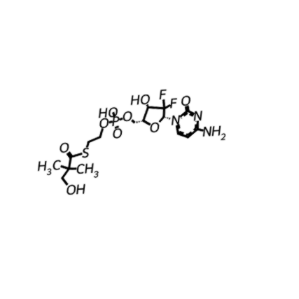 CC(C)(CO)C(=O)SCCOP(=O)(O)OC[C@H]1O[C@@H](n2ccc(N)nc2=O)C(F)(F)[C@@H]1O